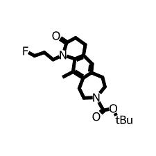 Cc1c2c(cc3c1N(CCCF)C(=O)CC3)CCN(C(=O)OC(C)(C)C)CC2